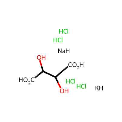 Cl.Cl.Cl.Cl.O=C(O)C(O)C(O)C(=O)O.[KH].[NaH]